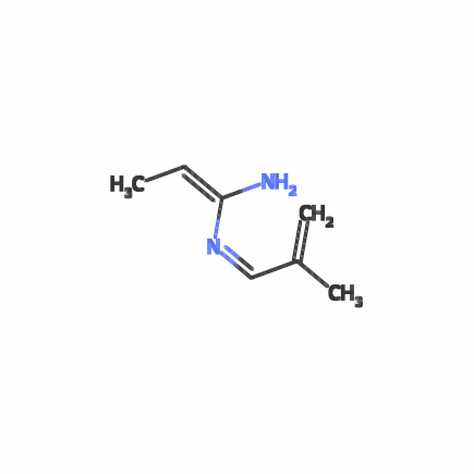 C=C(C)/C=N\C(N)=C/C